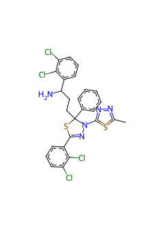 Cc1nnc(N2N=C(c3cccc(Cl)c3Cl)SC2(CCC(N)c2cccc(Cl)c2Cl)c2ccccc2)s1